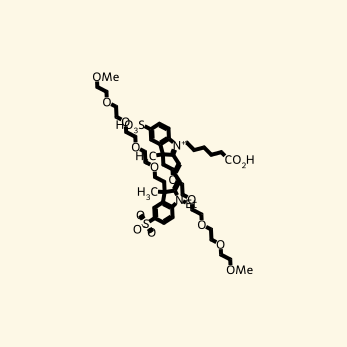 CCN1/C(=C/C=C/C2=[N+](CCCCCC(=O)O)c3ccc(S(=O)(=O)O)cc3C2(C)CCOCCOCCOCCOCCOC)C(C)(CCOCCOCCOCCOCCOC)c2cc(S(=O)(=O)[O-])ccc21